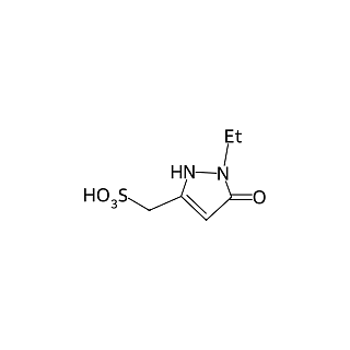 CCn1[nH]c(CS(=O)(=O)O)cc1=O